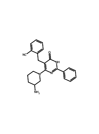 N#Cc1ccccc1Cc1c(N2CCCC(N)C2)nc(-c2ccccc2)[nH]c1=O